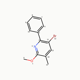 COc1nc(-c2ccccc2)c(Br)cc1C